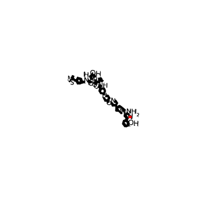 Cc1ncsc1-c1ccc(CNC(=O)[C@@H]2C[C@@H](O)CN2C(=O)[C@@H](NC(=O)C2CCC(N3CCC(Oc4cc(C56CC7CN(c8cc(-c9ccccc9O)nnc8N)CC(C5)N76)ccn4)CC3)CC2)C(C)(C)C)cc1